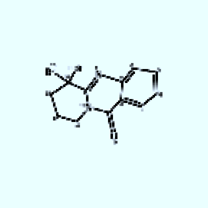 O=c1c2ccccc2nc2n1CCCC2(Br)Br